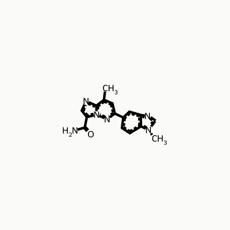 Cc1cc(-c2ccc3c(c2)ncn3C)nn2c(C(N)=O)cnc12